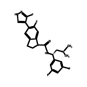 CN(C)C[C@@H](NC(=O)N1CCc2cc(-c3c[nH]nc3F)c(F)cc21)c1cc(F)cc(F)c1